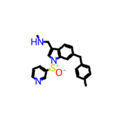 CNCc1cn([S+]([O-])c2cccnc2)c2cc(Cc3ccc(C)cc3)ccc12